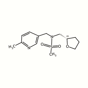 Cc1ccc(CN(C[C@@H]2CCCO2)S(C)(=O)=O)cn1